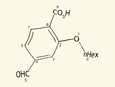 CCCCCCOc1cc(C=O)ccc1C(=O)O